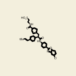 CC(C)(C)/C=C/c1ccc(C(Cc2ccc(C(=O)NCCS(=O)(=O)O)cc2)C(=O)Nc2ccc(-c3nc4cc(Cl)ccc4o3)cc2)cc1